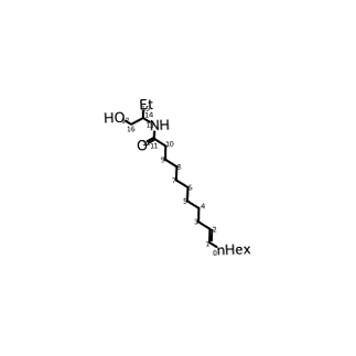 CCCCCCC=CCCCCCCCCC(=O)NC(CC)CO